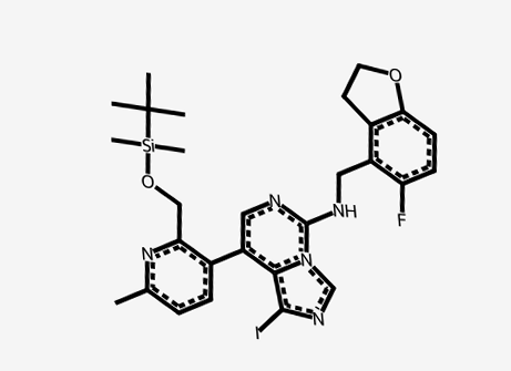 Cc1ccc(-c2cnc(NCc3c(F)ccc4c3CCO4)n3cnc(I)c23)c(CO[Si](C)(C)C(C)(C)C)n1